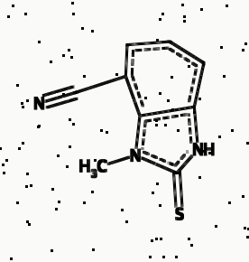 Cn1c(=S)[nH]c2cccc(C#N)c21